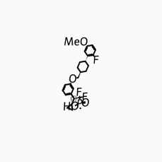 COc1ccc(F)c([C@H]2CC[C@H](COc3cccc([C@H](C4CC4)C(F)(F)P(C)(=O)O)c3)CC2)c1